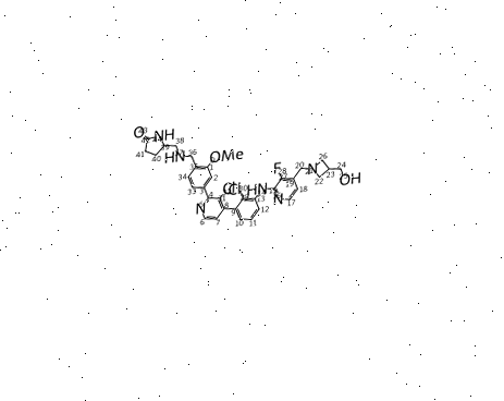 COc1cc(-c2nccc(-c3cccc(Nc4nccc(CN5CC(CO)C5)c4F)c3Cl)c2Cl)ccc1CNCC1CCC(=O)N1